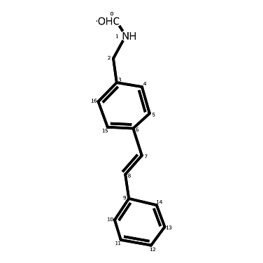 O=[C]NCc1ccc(C=Cc2ccccc2)cc1